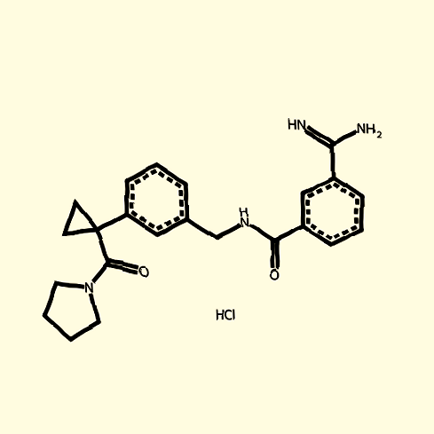 Cl.N=C(N)c1cccc(C(=O)NCc2cccc(C3(C(=O)N4CCCC4)CC3)c2)c1